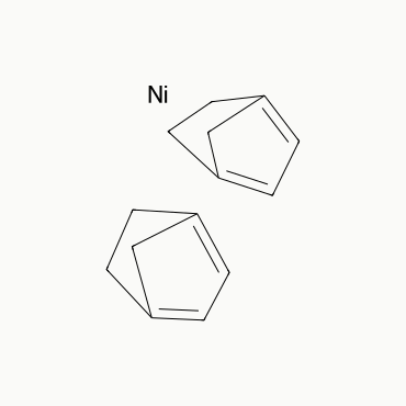 C1=C2CCC(=C1)C2.C1=C2CCC(=C1)C2.[Ni]